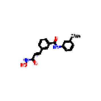 COc1cccc(NC(=O)c2cccc(/C=C/C(=O)NO)c2)c1